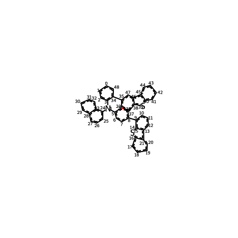 c1ccc(N(c2ccc(-c3cccc4c3sc3ccccc34)cc2)c2cccc3ccccc23)c(-c2ccc3sc4ccccc4c3c2)c1